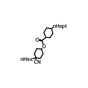 CCCCCCCC1CCC(C(=O)OC2CCC(C#N)(CCCCCC)CC2)CC1